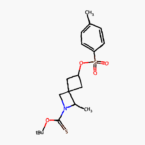 Cc1ccc(S(=O)(=O)OC2CC3(C2)CN(C(=S)OC(C)(C)C)C3C)cc1